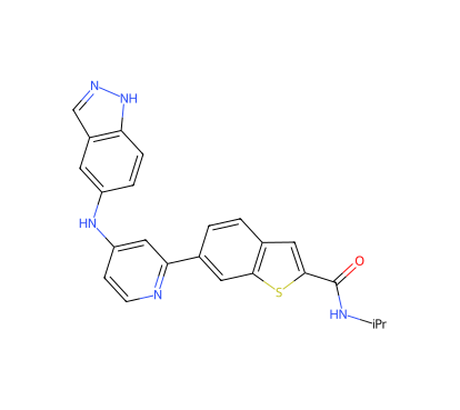 CC(C)NC(=O)c1cc2ccc(-c3cc(Nc4ccc5[nH]ncc5c4)ccn3)cc2s1